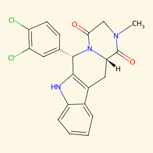 CN1CC(=O)N2[C@@H](c3ccc(Cl)c(Cl)c3)c3[nH]c4ccccc4c3C[C@H]2C1=O